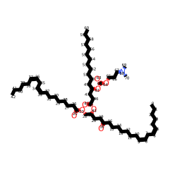 CCCCC/C=C\C/C=C\CCCCCCCC(=O)CCC(COC(=O)CCCCCCC/C=C\C/C=C\CCCCC)OC(=O)CCC(CCCCCCCCCCCC)OC(=O)OCCCN(C)C